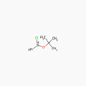 CCC[SiH](Cl)OC(C)(C)C